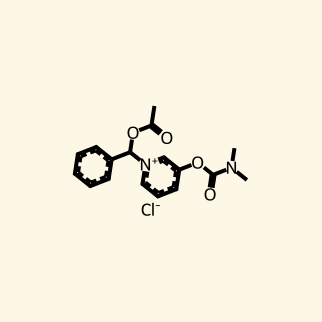 CC(=O)OC(c1ccccc1)[n+]1cccc(OC(=O)N(C)C)c1.[Cl-]